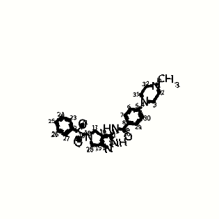 CN1CCN(c2ccc(C(=O)Nc3[nH]nc4c3CN(S(=O)(=O)c3ccccc3)C4)cc2)CC1